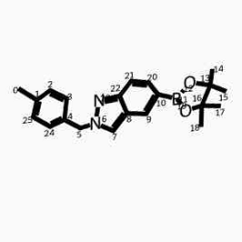 Cc1ccc(Cn2cc3cc(B4OC(C)(C)C(C)(C)O4)ccc3n2)cc1